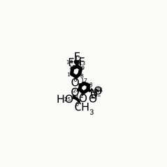 CC(Oc1cc(Oc2ccc(C(F)(F)F)cc2)ccc1[N+](=O)[O-])C(=O)O